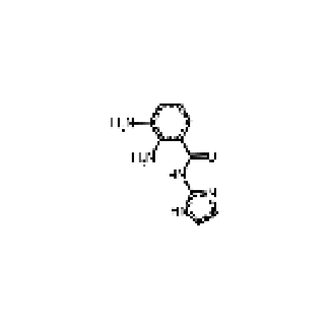 Nc1cccc(C(=O)Nc2ncc[nH]2)c1N